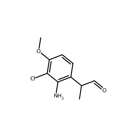 COc1ccc(C(C)C=O)c(N)c1Cl